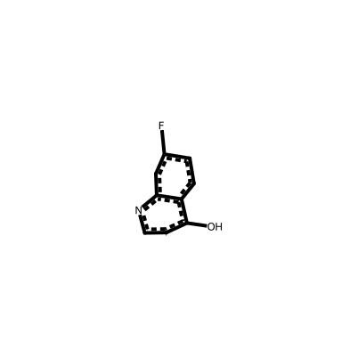 Oc1[c]cnc2cc(F)ccc12